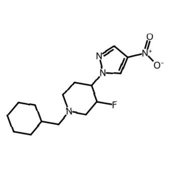 O=[N+]([O-])c1cnn(C2CCN(CC3CCCCC3)CC2F)c1